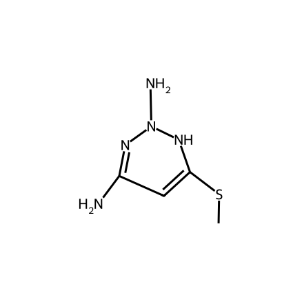 CSC1=CC(N)=NN(N)N1